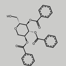 O=C(O[C@H]1[C@H](OC(=O)c2ccccc2)[C@@H](CO)O[CH][C@@H]1OC(=O)c1ccccc1)c1ccccc1